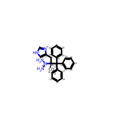 NN(N)[C@@](Cc1c[nH]cn1)(C(=O)O)C(c1ccccc1)(c1ccccc1)c1ccccc1